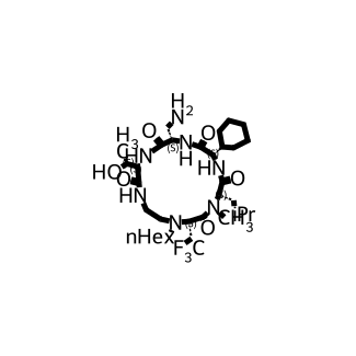 CCCCCCN1CCNC(=O)[C@H]([C@H](C)O)NC(=O)[C@H](CN)NC(=O)[C@H](C2CCCCC2)NC(=O)[C@H](CC(C)C)N(C)C(=O)[C@@H]1CC(F)(F)F